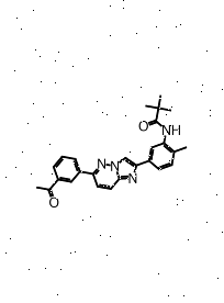 CC(=O)c1cccc(-c2ccc3nc(-c4ccc(C)c(NC(=O)C(C)(C)C)c4)cn3n2)c1